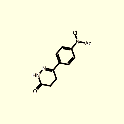 CC(=O)N(Cl)c1ccc(C2=NNC(=O)CC2)cc1